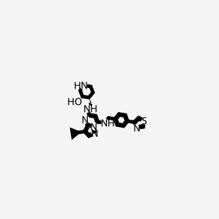 O[C@H]1CNCC[C@@H]1CNc1cc(NCc2ccc(-c3cscn3)cc2)n2ncc(C3CC3)c2n1